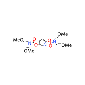 COCCN(CCOC)C(=O)Oc1ccc(OC(=O)N(CCOC)CCOC)nc1